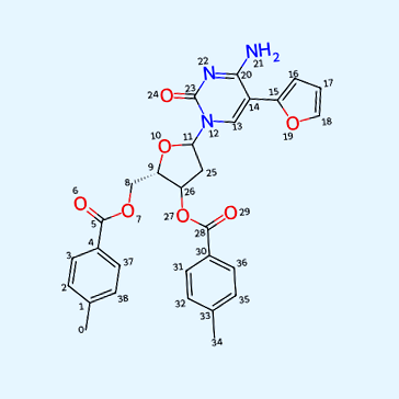 Cc1ccc(C(=O)OC[C@@H]2OC(n3cc(-c4ccco4)c(N)nc3=O)CC2OC(=O)c2ccc(C)cc2)cc1